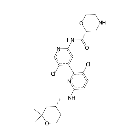 CC1(C)C[C@H](CNc2ccc(Cl)c(-c3cc(NC(=O)[C@H]4CNCCO4)ncc3Cl)n2)CCO1